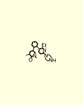 CCc1nc(N2CCNCC2)ccc1-c1ccccc1-c1cc(C)c(=O)n(C)c1